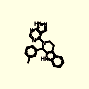 Cc1cccc(C2c3[nH]c4ccccc4c3CCN2c2ncnc3[nH]ncc23)c1